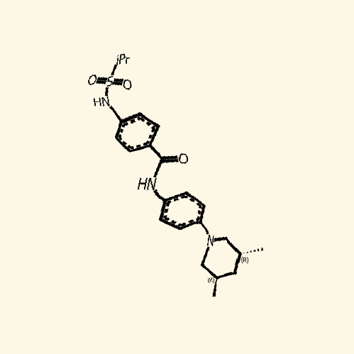 CC(C)S(=O)(=O)Nc1ccc(C(=O)Nc2ccc(N3C[C@H](C)C[C@@H](C)C3)cc2)cc1